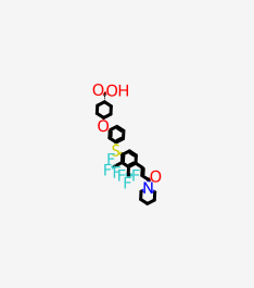 O=C(/C=C/c1ccc(Sc2cccc(O[C@H]3CC[C@@H](C(=O)O)CC3)c2)c(C(F)(F)F)c1C(F)(F)F)N1CCCCC1